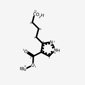 CC(C)(C)OC(=O)c1c[nH]nc1CCCC(=O)O